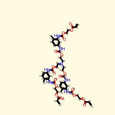 C=CC(=O)OCCOC(=O)Nc1cc(NC(=O)OCCN(CCOC(=O)Nc2ccc(C)c(NC(=O)OCCOC(=O)C=C)c2)CCOC(=O)Nc2ccc(C)c(NC(=O)OCCOC(=O)C=C)c2)ccc1C